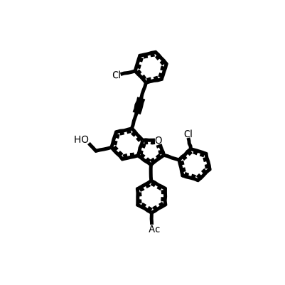 CC(=O)c1ccc(-c2c(-c3ccccc3Cl)oc3c(C#Cc4ccccc4Cl)cc(CO)cc23)cc1